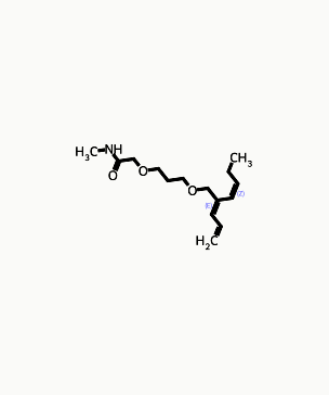 C=C/C=C(\C=C/CC)COCCCOCC(=O)NC